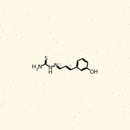 NC(=S)N/N=C/C=C/c1cccc(O)c1